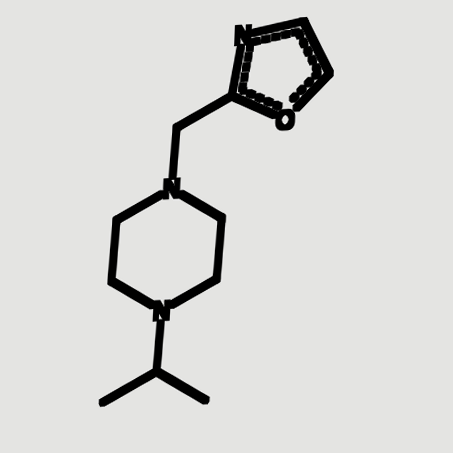 CC(C)N1CCN(Cc2ncco2)CC1